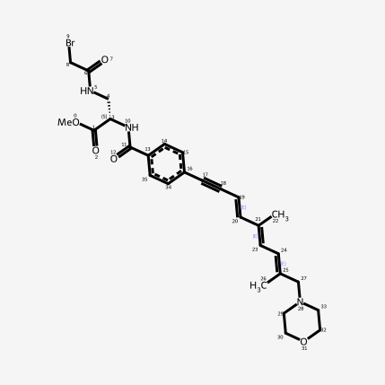 COC(=O)[C@H](CNC(=O)CBr)NC(=O)c1ccc(C#C/C=C/C(C)=C/C=C(\C)CN2CCOCC2)cc1